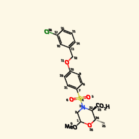 COC1CN(S(=O)(=O)c2ccc(OCc3cccc(Cl)c3)cc2)[C@@H](C(=O)O)[C@H](C)O1